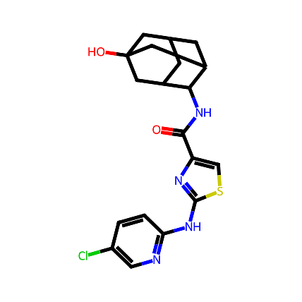 O=C(NC1C2CC3CC1CC(O)(C3)C2)c1csc(Nc2ccc(Cl)cn2)n1